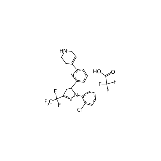 FC(F)(F)C(F)(F)C1=NN(c2ccccc2Cl)C(c2cccc(C3=CCNCC3)n2)C1.O=C(O)C(F)(F)F